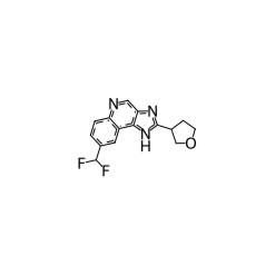 FC(F)c1ccc2ncc3nc(C4CCOC4)[nH]c3c2c1